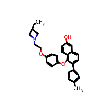 CCC1CN(CCOc2ccc(Oc3c(-c4ccc(C)cc4)ccc4cc(O)ccc34)cc2)C1